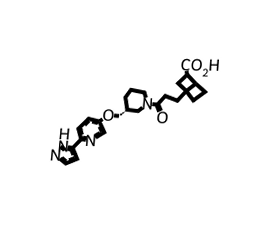 O=C(O)C1CC2(CCC(=O)N3CCC[C@@H](COc4ccc(-c5ccn[nH]5)nc4)C3)CCC12